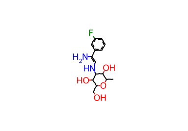 CC1OC(CO)C(O)C(N/C=C(\N)c2cccc(F)c2)C1O